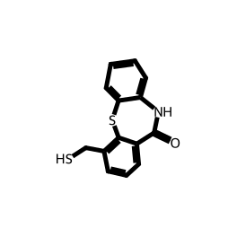 O=C1Nc2ccccc2Sc2c(CS)cccc21